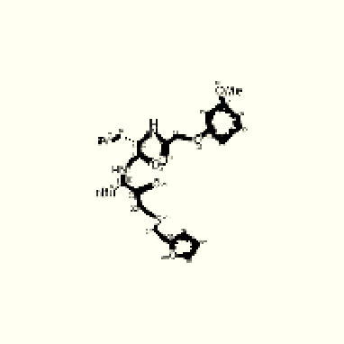 CCCC[C@H](NC(=O)[C@H](CC(C)C)NC(=O)COc1cccc(OC)c1)C(=O)CSCc1ccco1